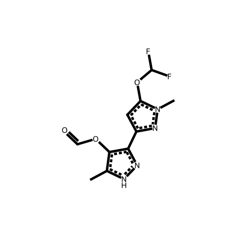 Cc1[nH]nc(-c2cc(OC(F)F)n(C)n2)c1OC=O